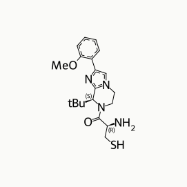 COc1ccccc1-c1cn2c(n1)[C@H](C(C)(C)C)N(C(=O)[C@@H](N)CS)CC2